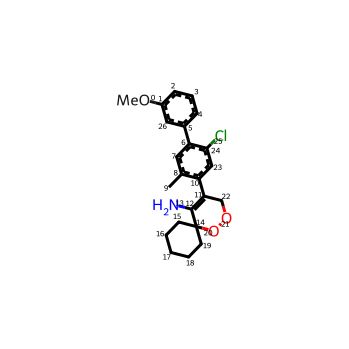 COc1cccc(-c2cc(C)c(C3=C(N)C4(CCCCC4)OOC3)cc2Cl)c1